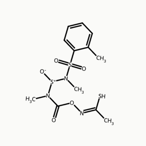 CC(S)=NOC(=O)N(C)[S+]([O-])N(C)S(=O)(=O)c1ccccc1C